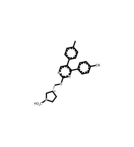 Cc1ccc(-c2cnc(OC[C@@H]3CCN(C(=O)O)C3)nc2-c2ccc(C#N)cc2)cc1